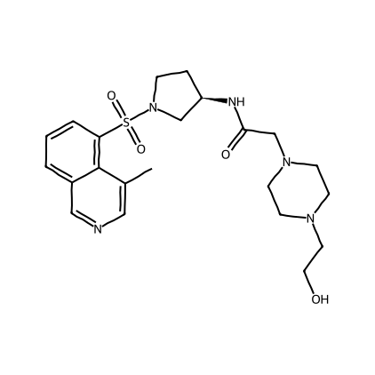 Cc1cncc2cccc(S(=O)(=O)N3CC[C@@H](NC(=O)CN4CCN(CCO)CC4)C3)c12